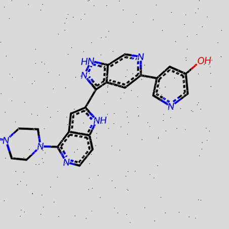 CN1CCN(c2nccc3[nH]c(-c4n[nH]c5cnc(-c6cncc(O)c6)cc45)cc23)CC1